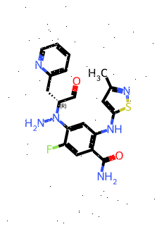 Cc1cc(Nc2cc(N(N)[C@@H](C=O)Cc3ccccn3)c(F)cc2C(N)=O)sn1